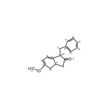 COC1=CC=C2C(CC(=O)N2Cc2ccccc2)C1